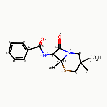 CC1(C(=O)O)CS[C@@H]2C(NC(=O)c3ccccc3)C(=O)N2C1